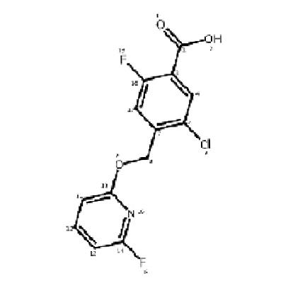 O=C(O)c1cc(Cl)c(COc2cccc(F)n2)cc1F